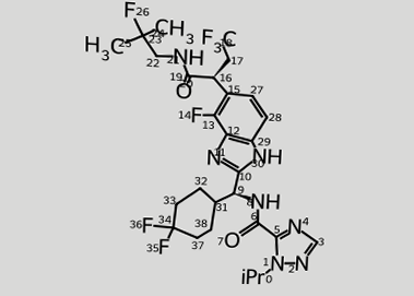 CC(C)n1ncnc1C(=O)N[C@H](c1nc2c(F)c([C@H](CC(F)(F)F)C(=O)NCC(C)(C)F)ccc2[nH]1)C1CCC(F)(F)CC1